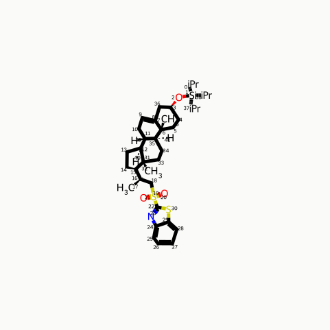 CC(C)[Si](O[C@H]1CC[C@@]2(C)C(=CC[C@H]3[C@@H]4CC[C@H]([C@H](C)CS(=O)(=O)c5nc6ccccc6s5)[C@@]4(C)CC[C@@H]32)C1)(C(C)C)C(C)C